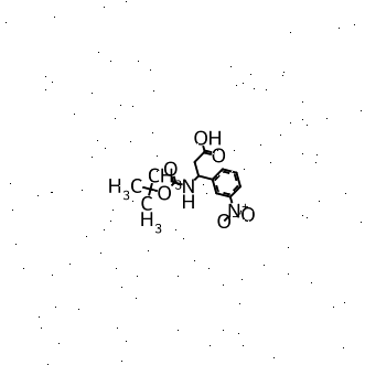 CC(C)(C)OC(=O)NC(CC(=O)O)c1cccc([N+](=O)[O-])c1